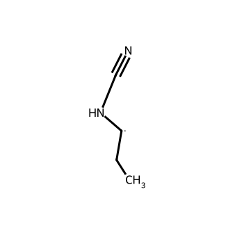 CC[CH]NC#N